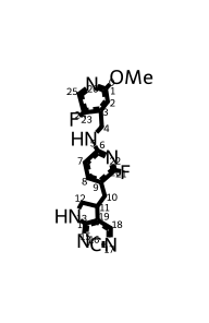 COc1cc(CNc2ccc(CC3CNc4ncncc43)c(F)n2)c(F)cn1